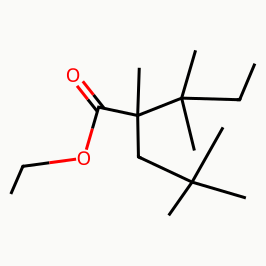 CCOC(=O)C(C)(CC(C)(C)C)C(C)(C)CC